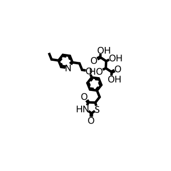 CCc1ccc(CCOc2ccc(CC3SC(=O)NC3=O)cc2)nc1.O=C(O)C(O)C(O)C(=O)O